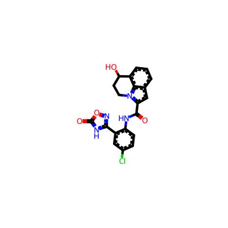 O=C(Nc1ccc(Cl)cc1-c1noc(=O)[nH]1)c1cc2cccc3c2n1CCC3O